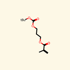 C=C(C)C(=O)OCCCOC(=O)OC(C)(C)C